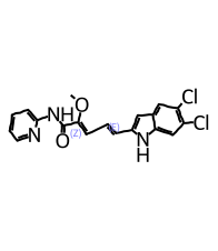 CO/C(=C\C=C\c1cc2cc(Cl)c(Cl)cc2[nH]1)C(=O)Nc1ccccn1